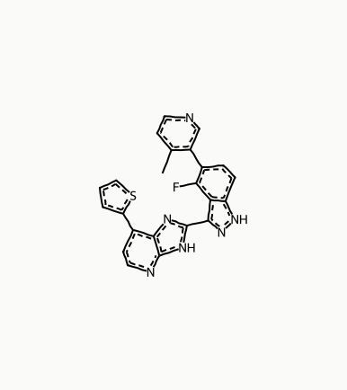 Cc1ccncc1-c1ccc2[nH]nc(-c3nc4c(-c5cccs5)ccnc4[nH]3)c2c1F